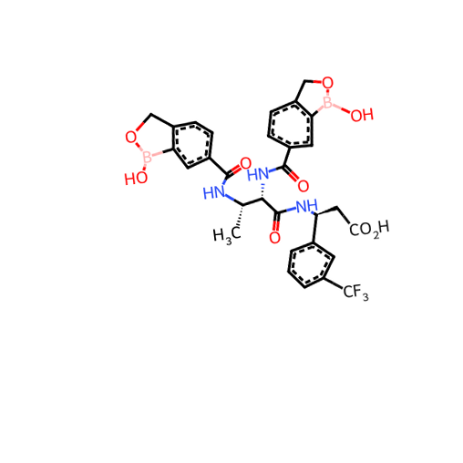 C[C@H](NC(=O)c1ccc2c(c1)B(O)OC2)[C@H](NC(=O)c1ccc2c(c1)B(O)OC2)C(=O)N[C@@H](CC(=O)O)c1cccc(C(F)(F)F)c1